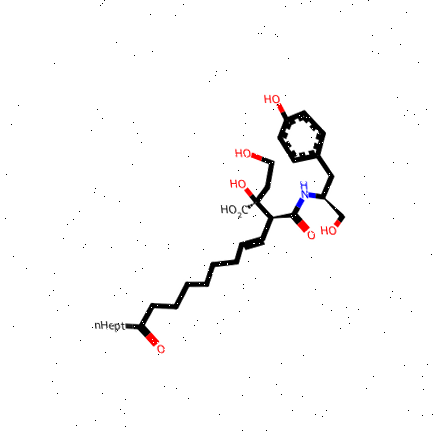 CCCCCCCC(=O)CCCCCC/C=C/[C@H](C(=O)N[C@H](CO)Cc1ccc(O)cc1)[C@@](O)(CCO)C(=O)O